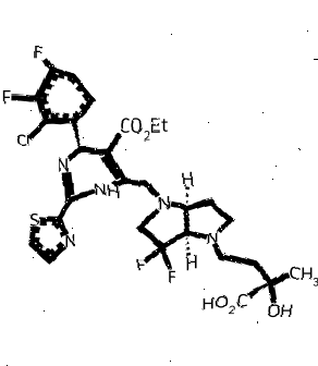 CCOC(=O)C1=C(CN2CC(F)(F)[C@H]3[C@@H]2CCN3CC[C@](C)(O)C(=O)O)NC(c2nccs2)=N[C@H]1c1ccc(F)c(F)c1Cl